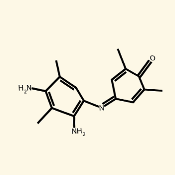 CC1=CC(=Nc2cc(C)c(N)c(C)c2N)C=C(C)C1=O